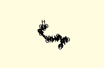 Cc1cc2c(N3CCOc4nc(-c5ccc(C(=O)NCC#Cc6cc7c(C8CCC(=O)NC8=O)cccc7o6)nc5)ncc43)cc(C3CCOCC3)nc2n(C)c1=O